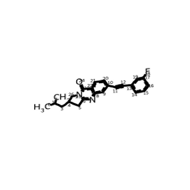 CC(C)CC1Cc2nc3cc(C#Cc4cccc(F)c4)ccc3c(=O)n2C1